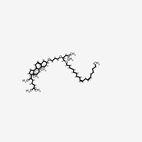 CCCCC/C=C\C/C=C\CCCCCCCCOCC(CN(C)C)OCCCO[C@H]1CC[C@@]2(C)C(=CCC3C4CCC(C(C)CCCC(C)C)[C@@]4(C)CCC32)C1